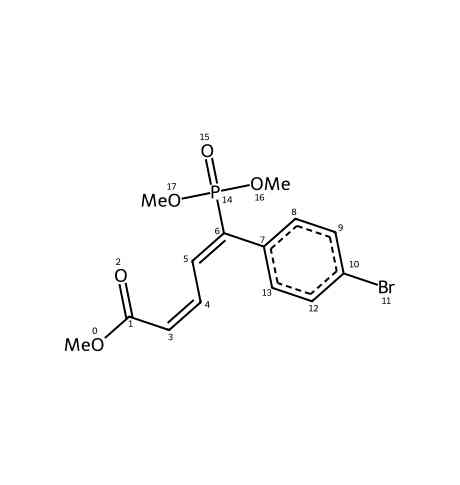 COC(=O)/C=C\C=C(/c1ccc(Br)cc1)P(=O)(OC)OC